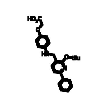 CC(C)(C)Oc1nc(-c2ccccc2)ccc1CNc1ccc(OCC(=O)O)cc1